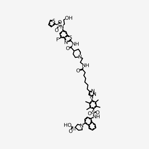 Cc1c(C)c(S(=O)(=O)Nc2ccc(N3CC[C@H](C(=O)O)C3)c3ccccc23)c(C)c(C)c1-n1cc(CCCCCCC(=O)NCCN2CCC(C(=O)Nc3nc4c(F)cc(N(CCO)S(=O)(=O)c5cccs5)cc4s3)CC2)nn1